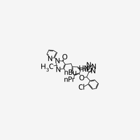 CCCCc1nc(C)n(-c2ccccn2)c(=O)c1Cc1cc(CCC)c(OC(c2nnn[nH]2)c2ccccc2Cl)c(CCC)c1